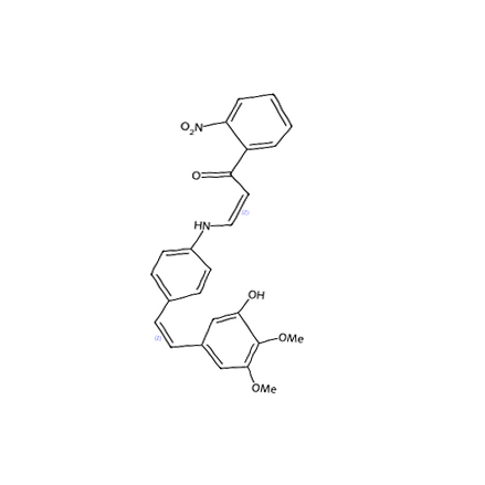 COc1cc(/C=C\c2ccc(N/C=C\C(=O)c3ccccc3[N+](=O)[O-])cc2)cc(O)c1OC